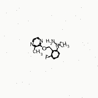 Cc1nccnc1OCc1c(F)cccc1N(C)N